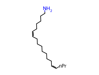 CCC/C=C\CCCCCCC/C=C\CCCCCN